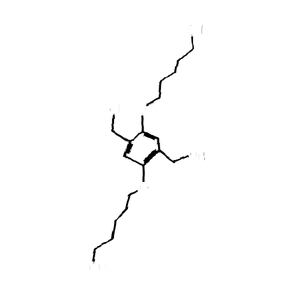 CCCCCCOc1cc(CCl)c(OCCCCCC)cc1CO